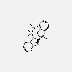 CCC1=Cc2ccccc2[CH]1[Zr]([CH3])([CH3])([CH]1C(CC)=Cc2ccccc21)[SiH](C)C